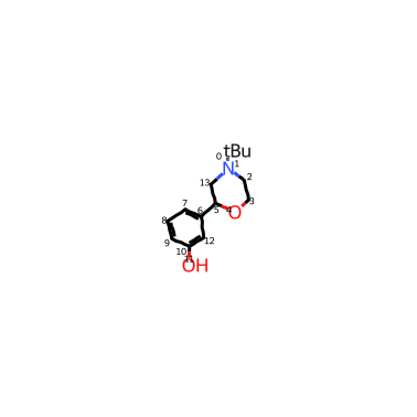 CC(C)(C)N1CCOC(c2cccc(O)c2)C1